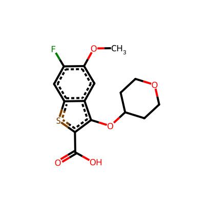 COc1cc2c(OC3CCOCC3)c(C(=O)O)sc2cc1F